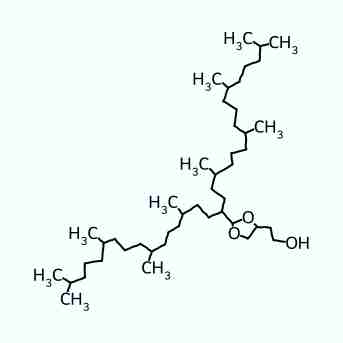 CC(C)CCCC(C)CCCC(C)CCCC(C)CCC(CCC(C)CCCC(C)CCCC(C)CCCC(C)C)C1OCC(CCO)O1